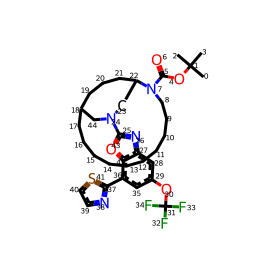 CC(C)(C)OC(=O)N1CCCCCCCCCCC2CCCC1CN(c1nc3cc(OC(F)(F)F)cc(-c4nccs4)c3o1)C2